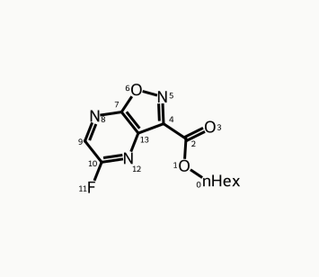 CCCCCCOC(=O)c1noc2ncc(F)nc12